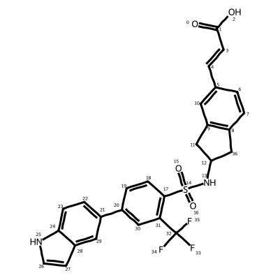 O=C(O)C=Cc1ccc2c(c1)CC(NS(=O)(=O)c1ccc(-c3ccc4[nH]ccc4c3)cc1C(F)(F)F)C2